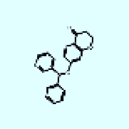 O=C1CCOc2cc(OC(c3ccccc3)c3cccnc3)ccc21